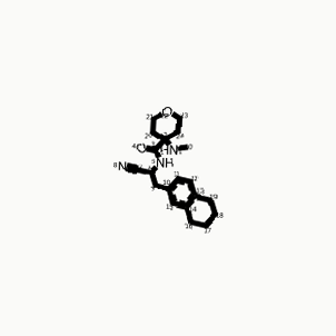 CNC1(C(=O)NC(C#N)Cc2ccc3c(c2)CCCC3)CCOCC1